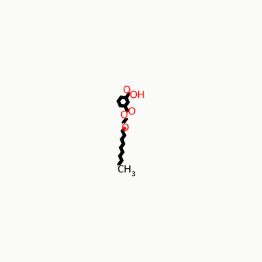 CCCCCCCCCCOCCOC(=O)C1CCCC(C(=O)O)C1